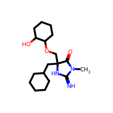 CN1C(=N)NC(COC2CCCCC2O)(CC2CCCCC2)C1=O